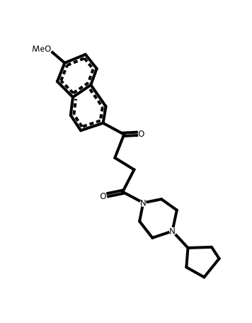 COc1ccc2cc(C(=O)CCC(=O)N3CCN(C4CCCC4)CC3)ccc2c1